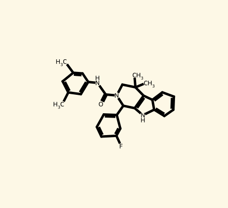 Cc1cc(C)cc(NC(=O)N2CC(C)(C)c3c([nH]c4ccccc34)C2c2cccc(F)c2)c1